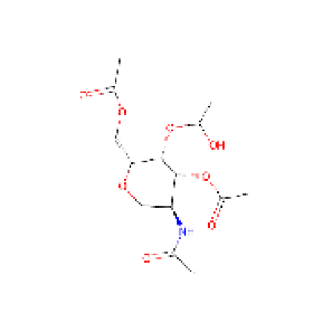 CC(=O)N[C@H]1CO[C@H](COC(C)=O)[C@H](OC(C)O)[C@@H]1OC(C)=O